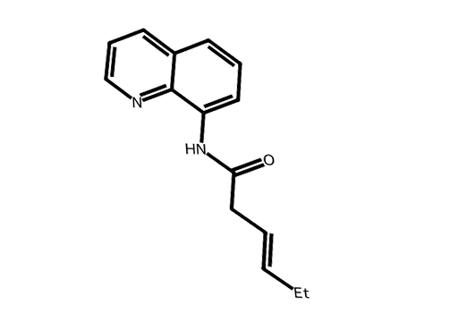 CCC=CCC(=O)Nc1cccc2cccnc12